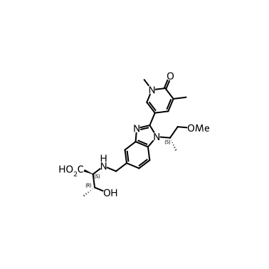 COC[C@H](C)n1c(-c2cc(C)c(=O)n(C)c2)nc2cc(CN[C@H](C(=O)O)[C@@H](C)O)ccc21